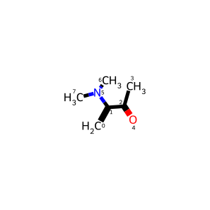 C=C(C(C)=O)N(C)C